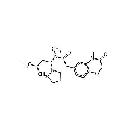 CC(C)CC(N1CCCC1)N(C)C(=O)Cc1ccc2c(c1)NC(=O)CO2